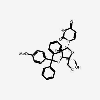 COc1ccc(C(O[C@H]2C(F)(F)[C@H](n3ccc(=O)[nH]c3=O)O[C@@]2(CO)CCl)(c2ccccc2)c2ccccc2)cc1